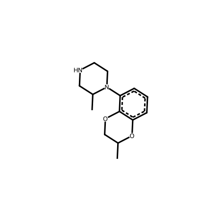 CC1COc2c(cccc2N2CCNCC2C)O1